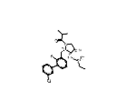 CC[S+]([O-])N[C@H]1[C@@H](F)CN(C(=O)C(C)C)[C@H]1Cc1cccc(-c2cccc(Cl)c2)c1F